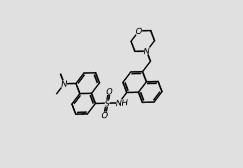 CN(C)c1cccc2c(S(=O)(=O)Nc3ccc(CN4CCOCC4)c4ccccc34)cccc12